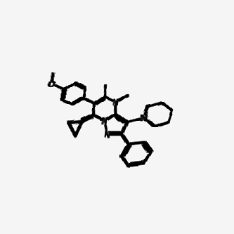 COc1ccc(C2=C(C)N(C)c3c(N4CCCCC4)c(-c4ccccc4)nn3C2=C2CC2)cc1